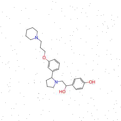 Oc1ccc(C(O)CN2CCCC2c2cccc(OCCCN3CCCCC3)c2)cc1